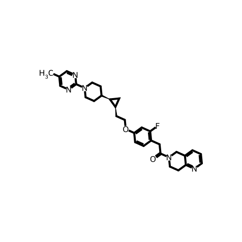 Cc1cnc(N2CCC([C@H]3C[C@H]3CCOc3ccc(CC(=O)N4CCc5ncccc5C4)c(F)c3)CC2)nc1